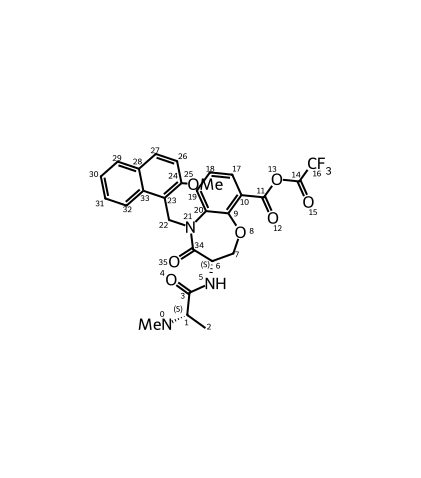 CN[C@@H](C)C(=O)N[C@H]1COc2c(C(=O)OC(=O)C(F)(F)F)cccc2N(Cc2c(OC)ccc3ccccc23)C1=O